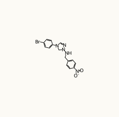 O=[N+]([O-])c1ccc(CNN2CN(c3ccc(Br)cc3)C=N2)cc1